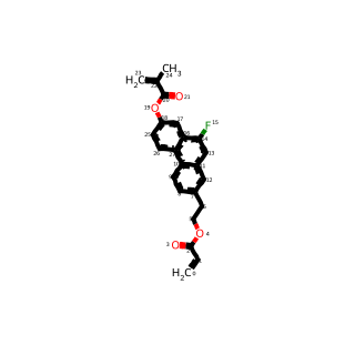 C=CC(=O)OCCc1ccc2c(c1)cc(F)c1cc(OC(=O)C(=C)C)ccc12